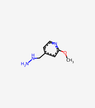 COc1cc(CNN)ccn1